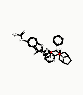 CC(=O)Nc1ccc2oc(-c3ccnc(C(=O)N4C5CCC4CN([C@@H](c4ccccc4)c4nnn(C(F)F)n4)C5)c3)nc2c1